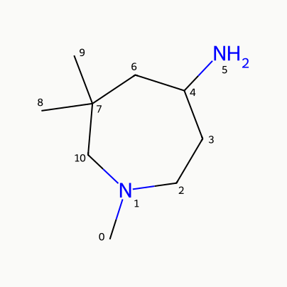 CN1CCC(N)CC(C)(C)C1